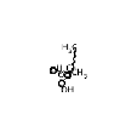 CCCCCCCCC(C)(C)c1ccc([C@@H]2CCC[C@@H](O)C2)c(OCc2ccccc2)c1